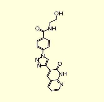 O=C(NCCO)c1ccc(-n2cc(-c3cc4cccnc4[nH]c3=O)nn2)cc1